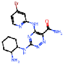 NC(=O)c1nnc(N[C@@H]2CCCC[C@@H]2N)nc1Nc1cc(Br)ccn1